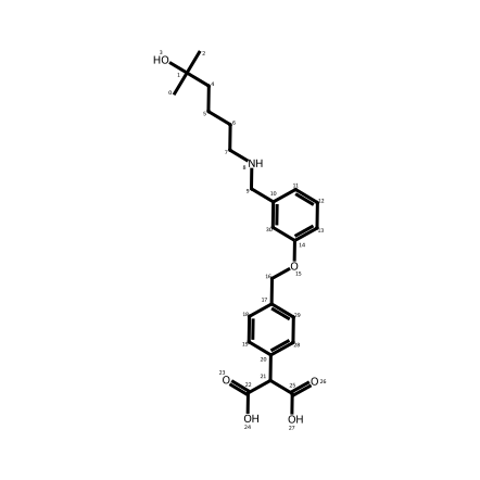 CC(C)(O)CCCCNCc1cccc(OCc2ccc(C(C(=O)O)C(=O)O)cc2)c1